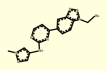 CCC(C)Cn1nnc2cc(-c3ccnc(Nc4cnn(C)c4)n3)ccc21